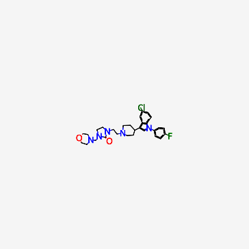 O=C1N(CCN2CCC(c3cn(-c4ccc(F)cc4)c4ccc(Cl)cc34)CC2)CCN1CN1CCOCC1